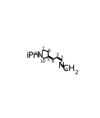 C=N/C=C\C=C1/CCN(C(C)C)C1